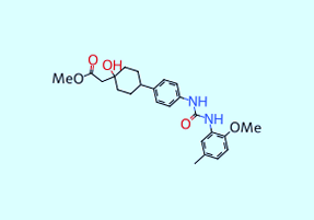 COC(=O)CC1(O)CCC(c2ccc(NC(=O)Nc3cc(C)ccc3OC)cc2)CC1